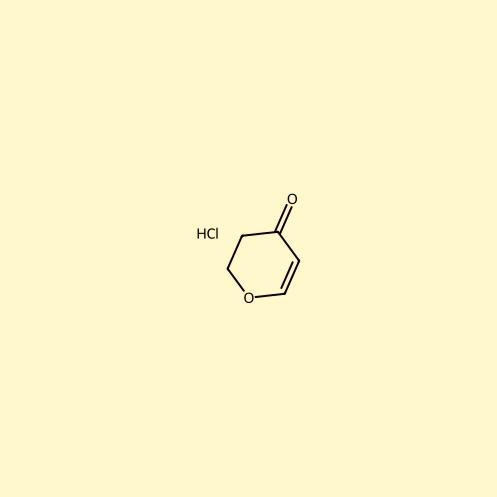 Cl.O=C1C=COCC1